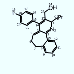 CC(C)C1N=C2C(=CCCc3ccccc32)C(c2ccc(F)cc2)=C1CO